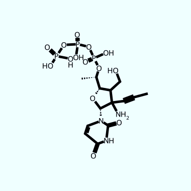 CC#CC1(N)C(CO)[C@@H]([C@H](C)OP(=O)(O)OP(=O)(O)OP(=O)(O)O)O[C@H]1n1ccc(=O)[nH]c1=O